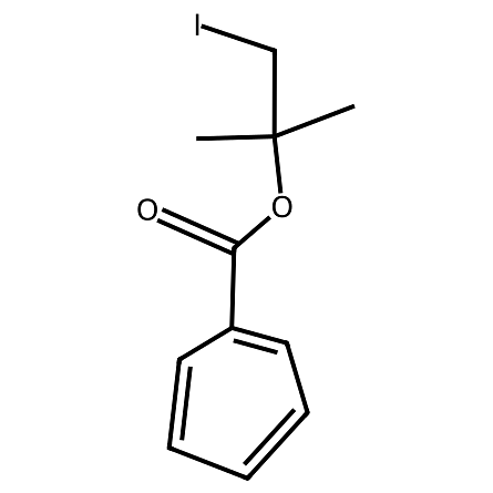 CC(C)(CI)OC(=O)c1ccccc1